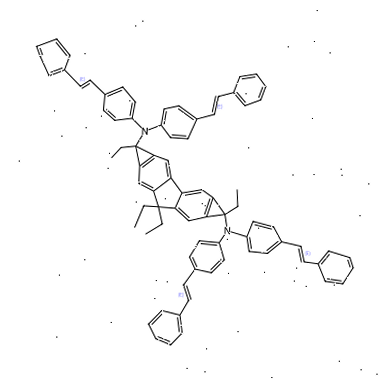 CCC1(CC)c2cc3c(cc2-c2cc4c(cc21)C4(CC)N(c1ccc(/C=C/c2ccccc2)cc1)c1ccc(/C=C/c2ccccc2)cc1)C3(CC)N(c1ccc(/C=C/c2ccccc2)cc1)c1ccc(/C=C/c2ccccc2)cc1